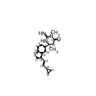 CN1C(=N)N[C@](C)(c2ccc3scc(/C=C/C4CC4)c3c2)CC1=O